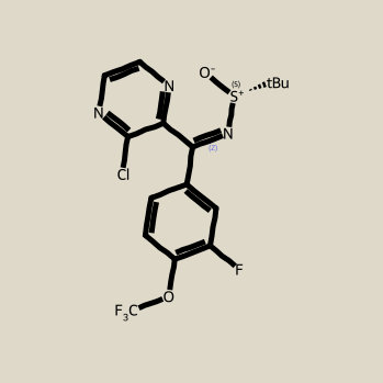 CC(C)(C)[S@@+]([O-])/N=C(/c1ccc(OC(F)(F)F)c(F)c1)c1nccnc1Cl